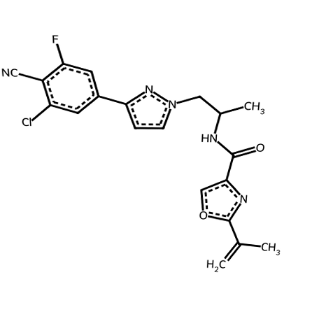 C=C(C)c1nc(C(=O)NC(C)Cn2ccc(-c3cc(F)c(C#N)c(Cl)c3)n2)co1